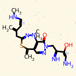 C=C(/C=C\NC)CC1=NN(C)c2c(cnn(CC(=N)/C(O)=C\N)c2=O)C(=C)S1